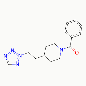 O=C(c1ccccc1)N1CCC(CCn2ncnn2)CC1